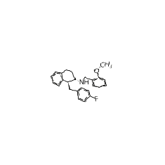 COc1ccccc1CN[C@H]1CCc2ccccc2[C@@H]1Cc1ccc(F)cc1